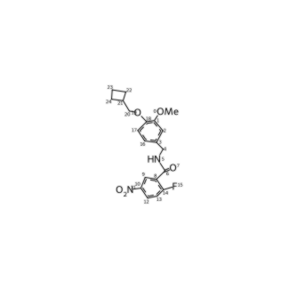 COc1cc(CNC(=O)c2cc([N+](=O)[O-])ccc2F)ccc1OCC1CCC1